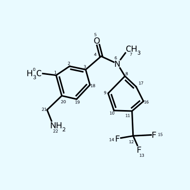 Cc1cc(C(=O)N(C)c2ccc(C(F)(F)F)cc2)ccc1CN